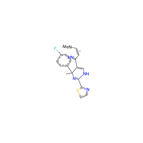 CN/C=C\C(=N)C1=CNC(c2nccs2)=NC1(C)c1ccc(F)cc1